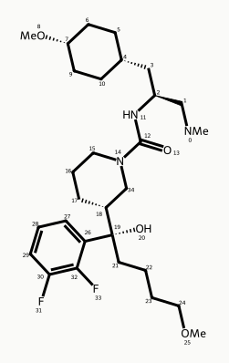 CNC[C@H](C[C@H]1CC[C@@H](OC)CC1)NC(=O)N1CCC[C@@H]([C@@](O)(CCCCOC)c2cccc(F)c2F)C1